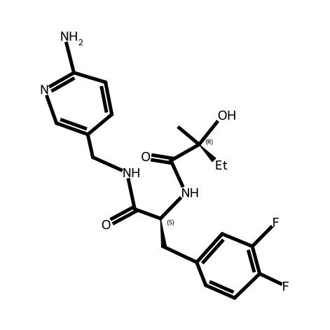 CC[C@@](C)(O)C(=O)N[C@@H](Cc1ccc(F)c(F)c1)C(=O)NCc1ccc(N)nc1